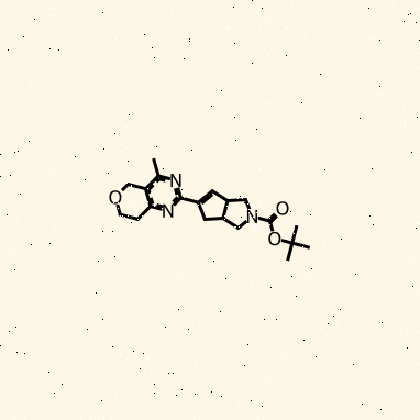 Cc1nc(C2=CC3CN(C(=O)OC(C)(C)C)CC3C2)nc2c1COCC2